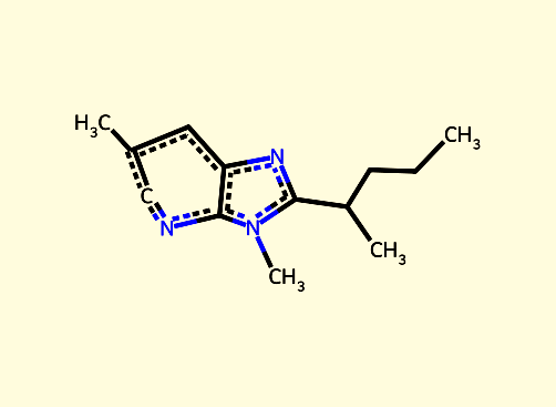 CCCC(C)c1nc2cc(C)cnc2n1C